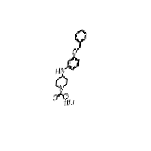 CC(C)(C)OC(=O)N1CCC(Nc2cccc(OCc3ccccc3)c2)CC1